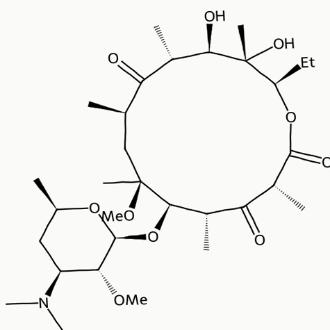 CC[C@H]1OC(=O)[C@H](C)C(=O)[C@H](C)[C@@H](O[C@@H]2O[C@H](C)C[C@H](N(C)C)[C@H]2OC)[C@@](C)(OC)C[C@@H](C)C(=O)[C@H](C)[C@@H](O)[C@]1(C)O